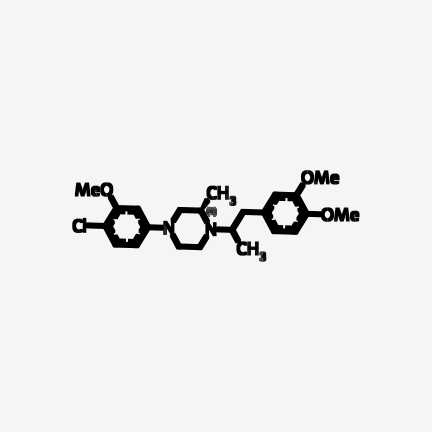 COc1cc(N2CCN(C(C)Cc3ccc(OC)c(OC)c3)[C@H](C)C2)ccc1Cl